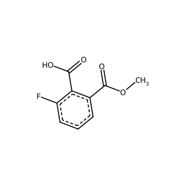 COC(=O)c1cccc(F)c1C(=O)O